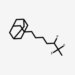 CC(F)(F)C(F)CCCCC12CC3CC(CC(C3)C1)C2